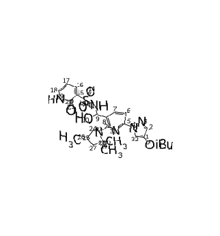 CC(C)COc1cnn(-c2ccc(C(O)NS(=O)(=O)c3ccc[nH]c3=O)c(N3C[C@@H](C)CC3(C)C)n2)c1